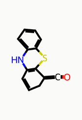 O=C=C1CC=CC2=C1Sc1ccccc1N2